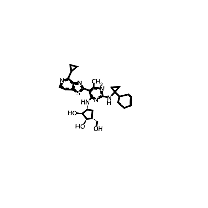 Cc1nc(NC2(C3CCCCC3)CC2)nc(N[C@@H]2C[C@H](CO)[C@@H](O)[C@H]2O)c1-c1nc2c(C3CC3)nccc2s1